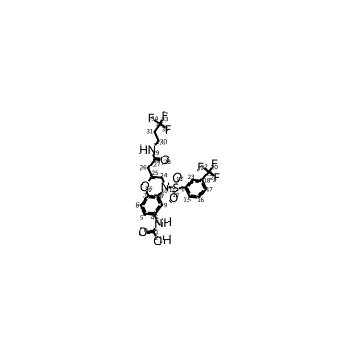 O=C(O)Nc1ccc2c(c1)N(S(=O)(=O)c1cccc(C(F)(F)F)c1)CC(CC(=O)NCCC(F)(F)F)O2